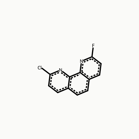 Fc1ccc2ccc3ccc(Cl)nc3c2n1